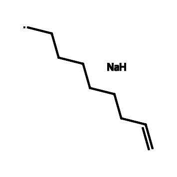 [CH2]CCCCCCC=C.[NaH]